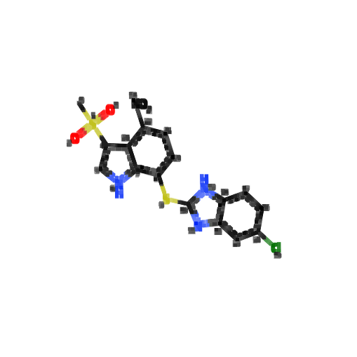 CS(=O)(=O)c1c[nH]c2c(Sc3nc4cc(Cl)ccc4[nH]3)ccc([N+](=O)[O-])c12